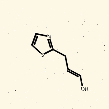 OC=CCc1nccs1